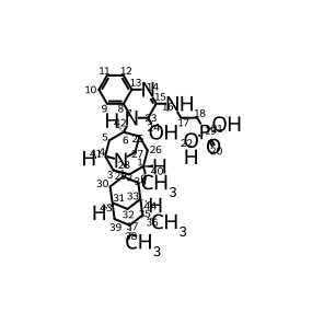 C[C@@H]1CC[C@H]2C[C@@H](N3c4ccccc4N=C(NCCP(=O)(O)O)C3O)C(C1)CN2[C@H]1C[C@H]2C[C@@H](C1)[C@H](C)[C@H](C)C2